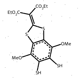 CCOC(=O)C(C(=O)OCC)=C1Sc2c(OC)c(S)c(S)c(OC)c2S1